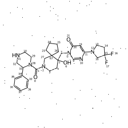 O=C(N1CCC(O)(Cn2cnc(N3CCC(F)(F)C3)cc2=O)C2(CCCC2)C1)N1CCNCC1c1ccccc1